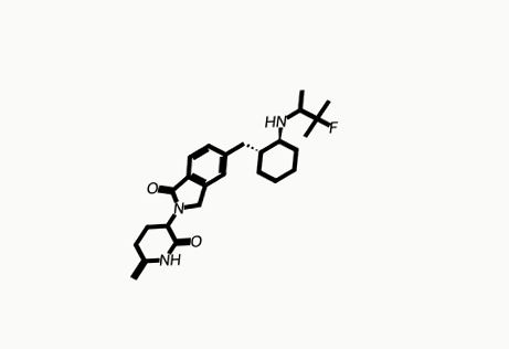 C=C1CCC(N2Cc3cc(C[C@H]4CCCC[C@@H]4NC(C)C(C)(C)F)ccc3C2=O)C(=O)N1